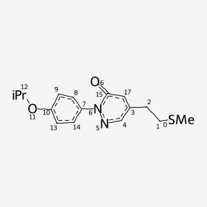 CSCCc1cnn(-c2ccc(OC(C)C)cc2)c(=O)c1